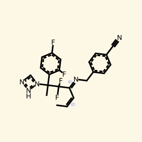 C/C=C\C(=N/Cc1ccc(C#N)cc1)C(F)(F)C(C)(c1ccc(F)cc1F)n1cn[nH]1